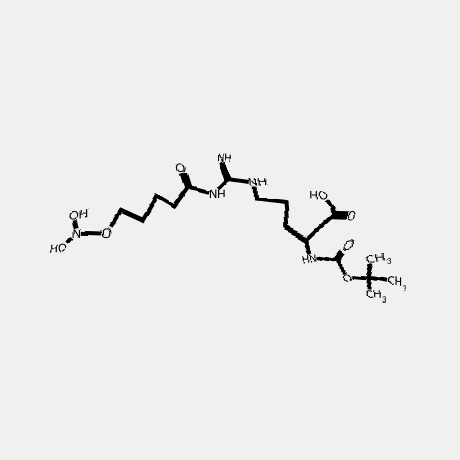 CC(C)(C)OC(=O)NC(CCCNC(=N)NC(=O)CCCCON(O)O)C(=O)O